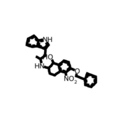 CC(Cc1c[nH]c2ccccc12)NC1CCc2c(ccc(OCc3ccccc3)c2[N+](=O)[O-])C1O